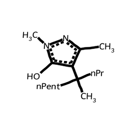 CCCCCC(C)(CCC)c1c(C)nn(C)c1O